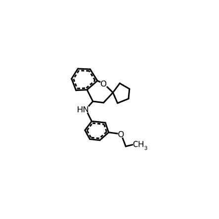 CCOc1cccc(NC2CC3(CCCC3)Oc3ccccc32)c1